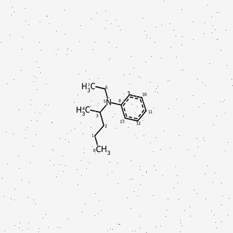 CCCC(C)N(CC)c1ccccc1